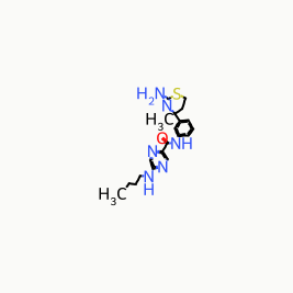 CCCCNc1cnc(C(=O)Nc2cccc(C3(C)CCSC(N)=N3)c2)cn1